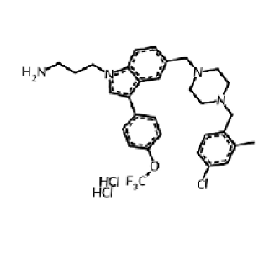 Cc1cc(Cl)ccc1CN1CCN(Cc2ccc3c(c2)c(-c2ccc(OC(F)(F)F)cc2)cn3CCCN)CC1.Cl.Cl